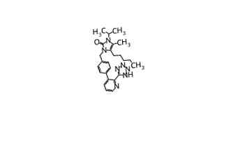 CCCCCc1c(C)n(C(C)C)c(=O)n1Cc1ccc(-c2cccnc2-c2nnn[nH]2)cc1